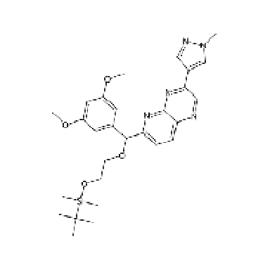 COc1cc(OC)cc(C(OCCO[Si](C)(C)C(C)(C)C)c2ccc3ncc(-c4cnn(C)c4)nc3n2)c1